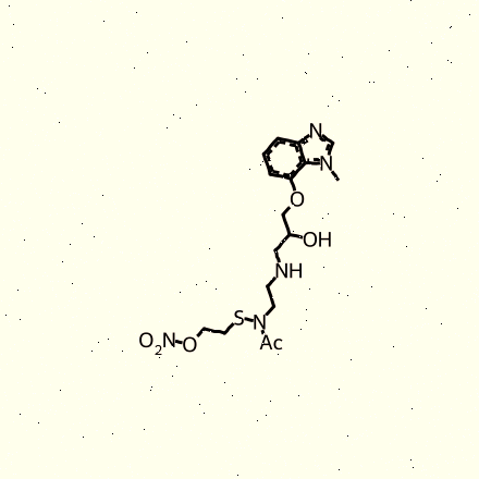 CC(=O)N(CCNCC(O)COc1cccc2ncn(C)c12)SCCO[N+](=O)[O-]